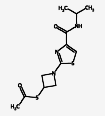 CC(=O)SC1CN(c2nc(C(=O)NC(C)C)cs2)C1